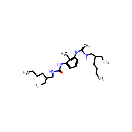 C=C(NCC(CC)CCCC)Nc1cccc(NC(=O)NCC(CC)CCCC)c1C